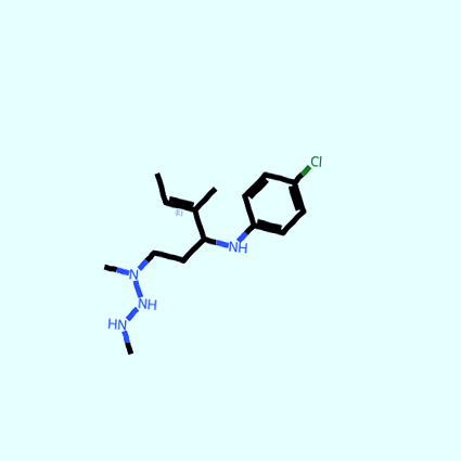 C/C=C(\C)C(CCN(C)NNC)Nc1ccc(Cl)cc1